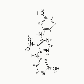 O=[N+]([O-])c1c(Nc2cccc(O)c2)ncnc1Nc1cccc(O)c1